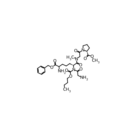 CCCCOC(=O)N(C(=O)CN)[C@@H](CCCC(N)C(=O)OCc1ccccc1)C(=O)N(C)CC(=O)N1CCC[C@H]1C(=O)OC